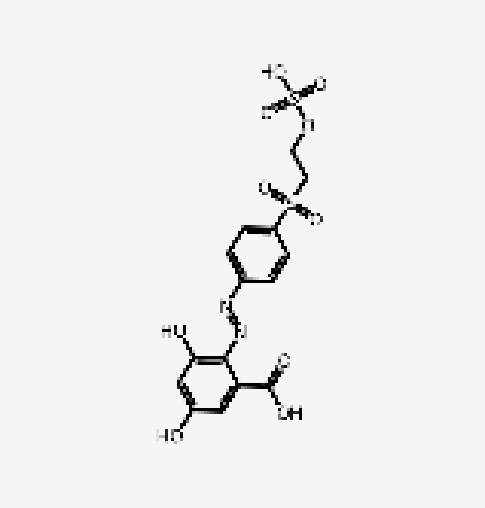 O=C(O)c1cc(O)cc(O)c1N=Nc1ccc(S(=O)(=O)CCOS(=O)(=O)O)cc1